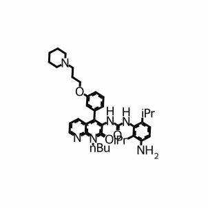 CCCCn1c(=O)c(NC(=O)Nc2c(C(C)C)ccc(N)c2C(C)C)c(-c2cccc(OCCCN3CCCCC3)c2)c2cccnc21